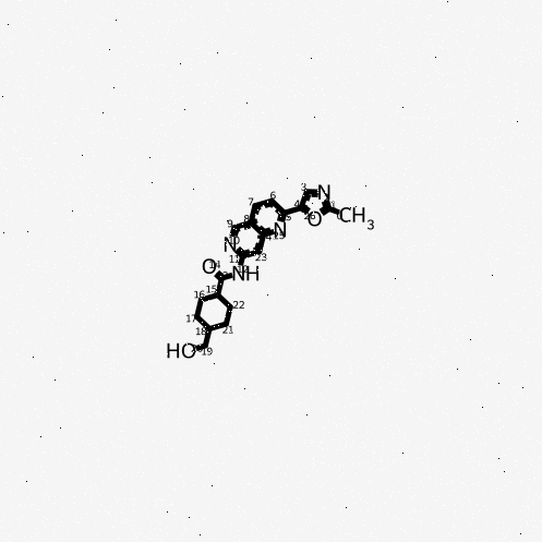 Cc1ncc(-c2ccc3cnc(NC(=O)C4CCC(CO)CC4)cc3n2)o1